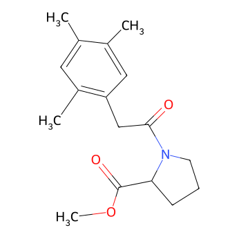 COC(=O)C1CCCN1C(=O)Cc1cc(C)c(C)cc1C